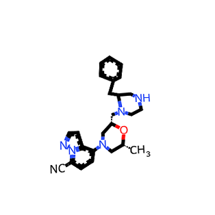 C[C@@H]1CN(c2ccc(C#N)n3nccc23)C[C@H](CN2CCNCC2Cc2ccccc2)O1